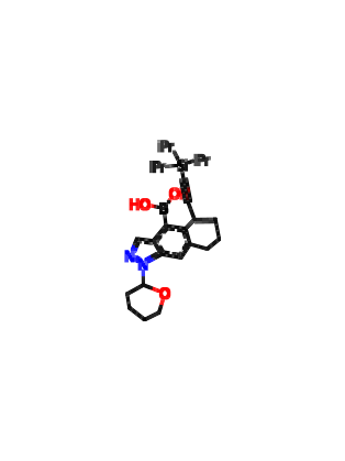 CC(C)[Si](C#CC1=CCCc2cc3c(cnn3C3CCCCO3)c(B(O)O)c21)(C(C)C)C(C)C